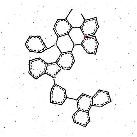 Cc1ccccc1-c1c(C)ccc2c1N(c1ccccc1)c1ccc3c(c1N2c1ccccc1)c1ccccc1n3-c1cccc(-c2cc3ccccc3c3ccccc23)c1